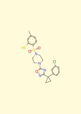 Cc1ccc(S(=O)(=O)N2CCN(c3nc(C4(c5cccc(Cl)c5)CC4)no3)CC2)c(S)c1